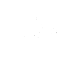 CC(=O)O.CC(C)NC1CCc2c(ccc(OCc3ccccc3)c2CS(C)(=O)=O)C1O